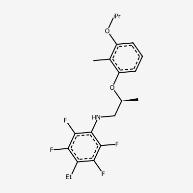 CCc1c(F)c(F)c(NC[C@H](C)Oc2cccc(OC(C)C)c2C)c(F)c1F